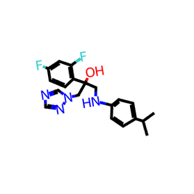 CC(C)c1ccc(NCC(O)(Cn2cncn2)c2ccc(F)cc2F)cc1